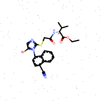 CCOC(=O)[C@H](NC(=O)CSc1ncc(Br)n1-c1ccc(C#N)c2ccccc12)C(C)C